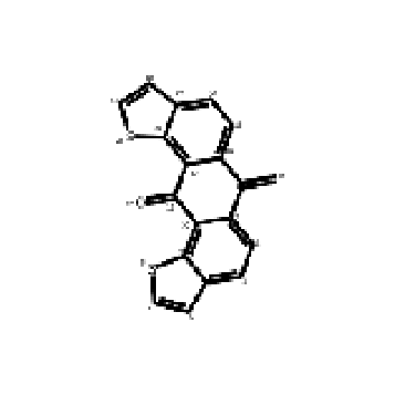 C=C1c2ccc3ccsc3c2C(=O)c2c1ccc1ccsc21